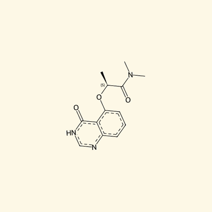 C[C@H](Oc1cccc2nc[nH]c(=O)c12)C(=O)N(C)C